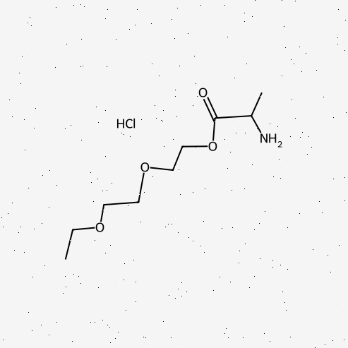 CCOCCOCCOC(=O)C(C)N.Cl